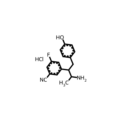 CC(N)C(Cc1ccc(O)cc1)c1cc(F)cc(C#N)c1.Cl